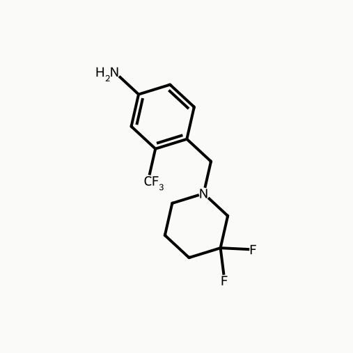 Nc1ccc(CN2CCCC(F)(F)C2)c(C(F)(F)F)c1